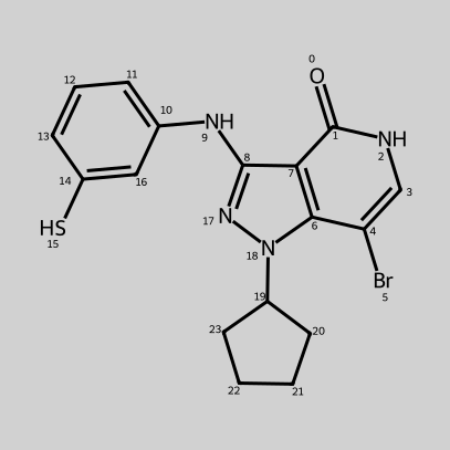 O=c1[nH]cc(Br)c2c1c(Nc1cccc(S)c1)nn2C1CCCC1